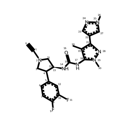 C#CN1CC(c2ccc(F)c(F)c2)[C@H](NC(=O)Nc2c(C)c(-c3cnn(C)c3)nn2C)C1